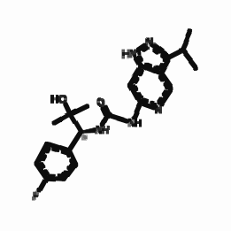 C[C](C)c1n[nH]c2cc(NC(=O)N[C@@H](c3ccc(F)cc3)C(C)(C)O)ncc12